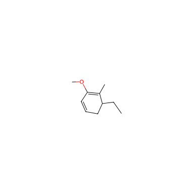 CCC1CC=CC(OC)=C1C